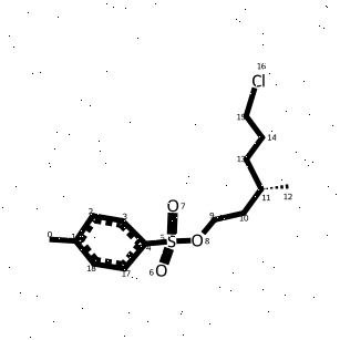 Cc1ccc(S(=O)(=O)OCC[C@@H](C)CCCCl)cc1